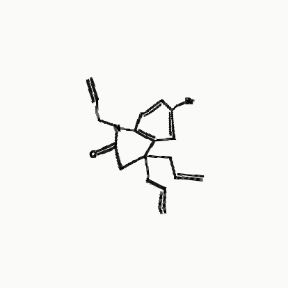 C=CCN1C(=O)CC(CC=C)(CC=C)c2cc(Br)ccc21